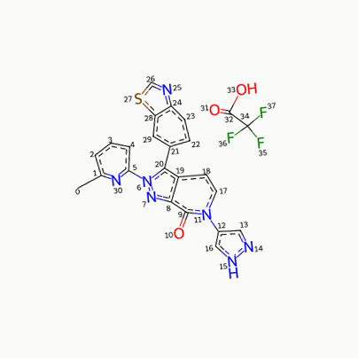 Cc1cccc(-n2nc3c(=O)n(-c4cn[nH]c4)ccc3c2-c2ccc3ncsc3c2)n1.O=C(O)C(F)(F)F